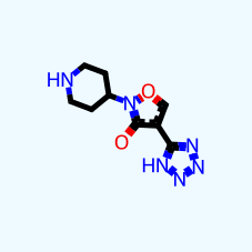 O=c1c(-c2nnn[nH]2)con1C1CCNCC1